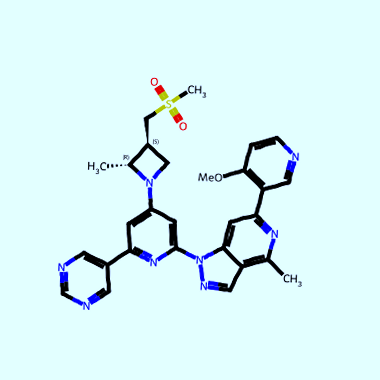 COc1ccncc1-c1cc2c(cnn2-c2cc(N3C[C@H](CS(C)(=O)=O)[C@H]3C)cc(-c3cncnc3)n2)c(C)n1